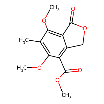 COC(=O)c1c2c(c(OC)c(C)c1OC)C(=O)OC2